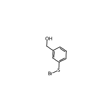 OCc1cccc(SBr)c1